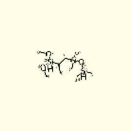 CO[SiH](OC)C(C)C[Si](C)(C)O[SiH](C)C